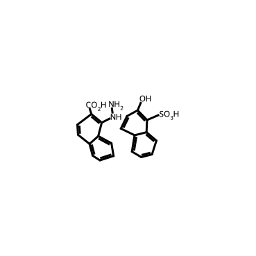 NNc1c(C(=O)O)ccc2ccccc12.O=S(=O)(O)c1c(O)ccc2ccccc12